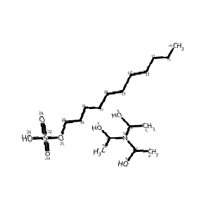 CC(O)N(C(C)O)C(C)O.CCCCCCCCCCCOS(=O)(=O)O